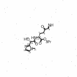 CC(C)OC(=O)[C@H](CCC(=O)C=N)NC(=O)[C@@H](O)c1nccn1C